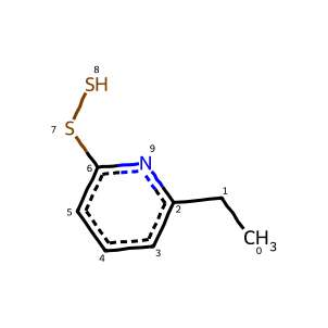 CCc1cccc(SS)n1